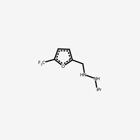 CC(C)NNCc1ccc(C(F)(F)F)o1